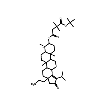 CC(C)C1=C2C3CCC4C(C)(CCC5[C@@H](C)C(OC(=O)CC(C)(C)C(=O)OC(C)(C)C)CCC54C)C3CCC2(CCN)CC1=O